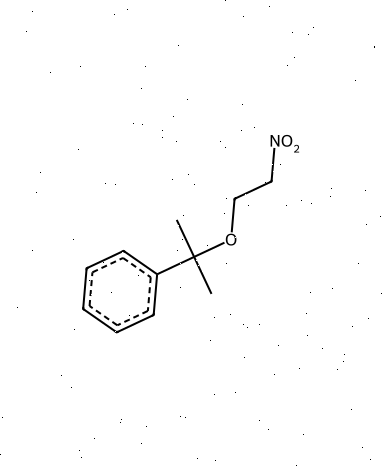 CC(C)(OCC[N+](=O)[O-])c1ccccc1